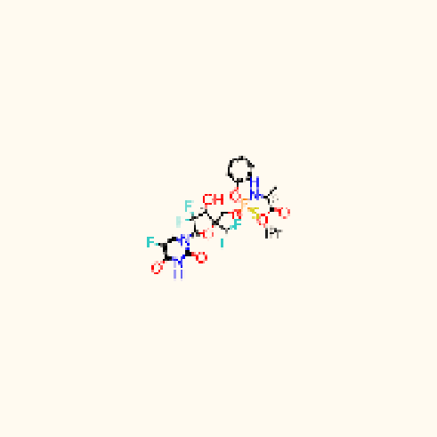 CC(C)OC(=O)[C@H](C)NP(=S)(OC[C@@]1(C(F)F)O[C@@H](n2cc(F)c(=O)[nH]c2=O)C(F)(F)[C@@H]1O)Oc1ccccc1